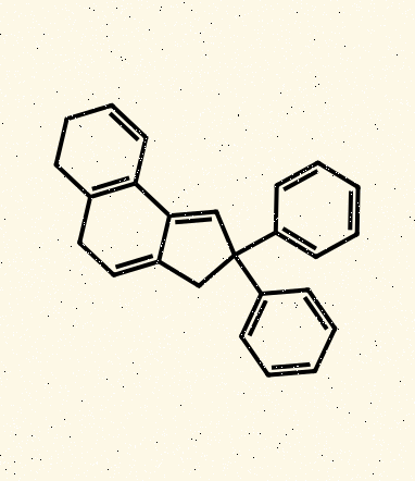 C1=CC2=C(CC=C3CC(c4ccccc4)(c4ccccc4)C=C32)CC1